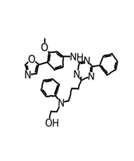 COc1cc(Nc2nc(CCCN(CCO)c3ccccc3)nc(-c3ccccc3)n2)ccc1-c1cnco1